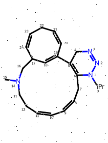 CC(C)N1N=NCC2=C1C/C=C\C=C/CCN(C)CC1C=C2C=CC/C=C\1